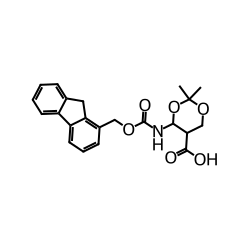 CC1(C)OCC(C(=O)O)C(NC(=O)OCc2cccc3c2Cc2ccccc2-3)O1